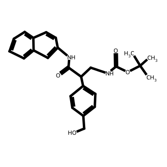 CC(C)(C)OC(=O)NCC(C(=O)Nc1ccc2ccccc2c1)c1ccc(CO)cc1